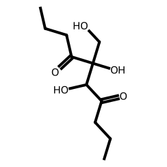 CCCC(=O)C(O)C(O)(CO)C(=O)CCC